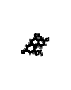 CC1CC2=CC(=O)CC(C)N2C2CCC(Cl)CC12